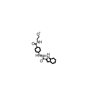 COCCNC(=O)c1ccc(NNC(=O)c2cc3ccccc3[nH]2)cc1